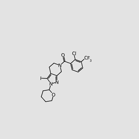 O=C(c1cccc(C(F)(F)F)c1Cl)N1CCc2c(nn(C3CCCCO3)c2I)C1